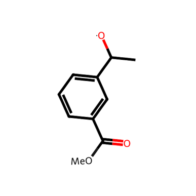 COC(=O)c1cccc(C(C)[O])c1